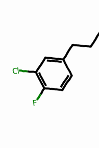 CCCc1ccc(F)c(Cl)c1